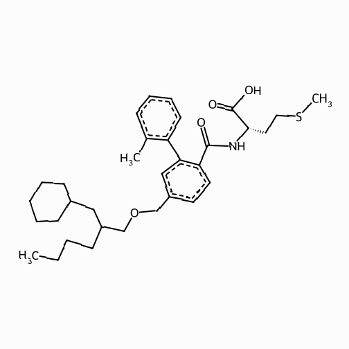 CCCCC(COCc1ccc(C(=O)N[C@@H](CCSC)C(=O)O)c(-c2ccccc2C)c1)CC1CCCCC1